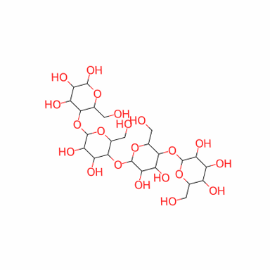 OCC1OC(OC2C(CO)OC(OC3C(CO)OC(OC4C(CO)OC(O)C(O)C4O)C(O)C3O)C(O)C2O)C(O)C(O)C1O